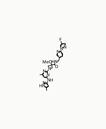 COC1(C(=O)NCc2ccc(-n3cc(F)cn3)nc2)CN(c2nc(C)cc(Nc3cc(C)[nH]n3)n2)C1